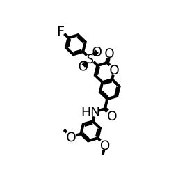 COc1cc(NC(=O)c2ccc3oc(=O)c(S(=O)(=O)c4ccc(F)cc4)cc3c2)cc(OC)c1